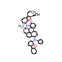 C#Cc1oc2c(N(c3ccccc3)C3(C)CC=c4ccc5c(N(c6ccccc6)c6cccc7c6oc6ccccc67)ccc6c5c4=C3CC6)cccc2c1/C=C\C